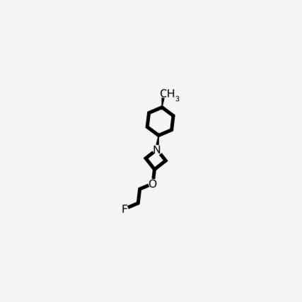 C[C@H]1CC[C@@H](N2CC(OCCF)C2)CC1